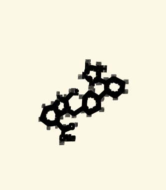 CCc1nc2cccc(C(=O)OC)c2n1Cc1ccc(-c2ccccc2-c2nnn[nH]2)cc1